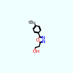 CC(C)(C)c1ccc(-c2nnc(CCO)o2)cc1